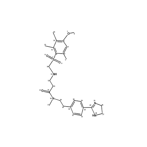 COc1cc(C)c(S(=O)(=O)CNCCC(=O)N(C)CCc2ccc(C3=NCCN3)cc2)c(C)c1C